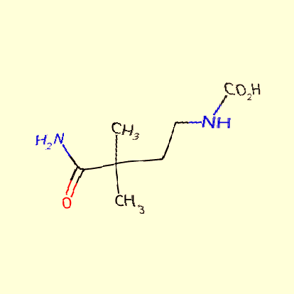 CC(C)(CCNC(=O)O)C(N)=O